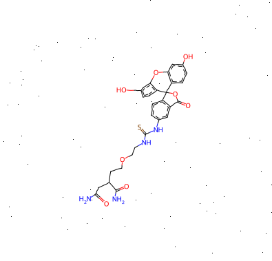 NC(=O)CC(CCOCCNC(=S)Nc1ccc2c(c1)C(=O)OC21c2ccc(O)cc2Oc2cc(O)ccc21)C(N)=O